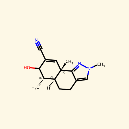 C[C@@H]1C(O)C(C#N)=C[C@]2(C)c3nn(C)cc3CC[C@@H]12